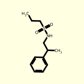 CCCS(=O)(=O)NCC(C)c1ccccc1